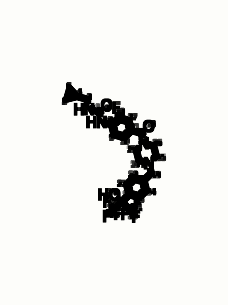 O=C(NCC1CC1)Nc1ccc(C(=O)N2CCN(Cc3ccc(C(O)(C(F)(F)F)C(F)(F)F)cc3)CC2)cc1F